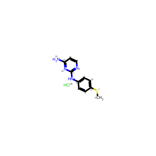 CSc1ccc(Nc2nccc(N)n2)cc1.Cl